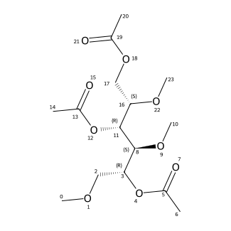 COC[C@@H](OC(C)=O)[C@H](OC)[C@H](OC(C)=O)[C@H](COC(C)=O)OC